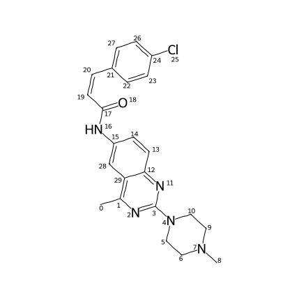 Cc1nc(N2CCN(C)CC2)nc2ccc(NC(=O)/C=C\c3ccc(Cl)cc3)cc12